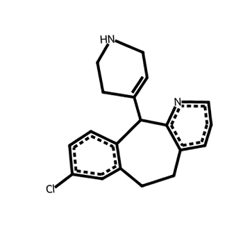 Clc1ccc2c(c1)CCc1cccnc1C2C1=CCNCC1